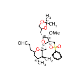 C=C1[C@H](C)CC(CCC=O)O[C@H]1C[C@@H]1O[C@H](CC2COC(C)(C)O2)[C@H](OC)[C@H]1CS(=O)(=O)c1ccccc1